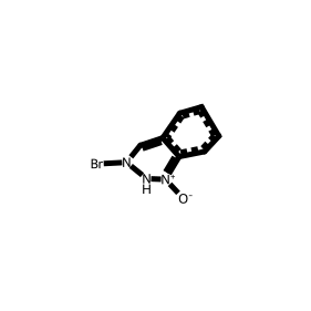 [O-][N+]1=c2ccccc2=CN(Br)N1